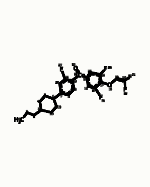 CCCC1CCC(c2cc[c]([Co](=[O])[c]3cc(F)c(OC=C(F)F)c(F)c3)c(F)c2)CC1